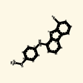 Fc1cccc2c1sc1c(Nc3ccc(OC(F)(F)F)cc3)cccc12